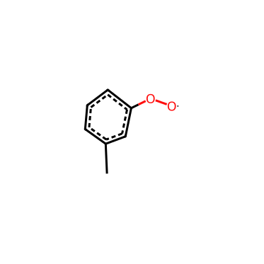 Cc1cccc(O[O])c1